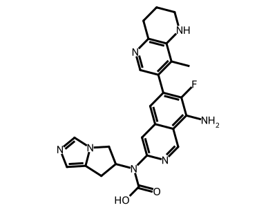 Cc1c(-c2cc3cc(N(C(=O)O)C4Cc5cncn5C4)ncc3c(N)c2F)cnc2c1NCCC2